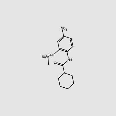 CNC.O=C(Nc1ccc([N+](=O)[O-])cc1[N+](=O)[O-])C1CCCCC1